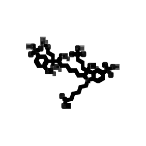 C=C(/C=C/C=C/C=C1/N(CCCCCC(=O)O)c2ccc(S(=O)(=O)O)cc2C1(C)CCCS(=O)(=O)O)C(C)(CCOC)c1cc(S(=O)(=O)O)ccc1C